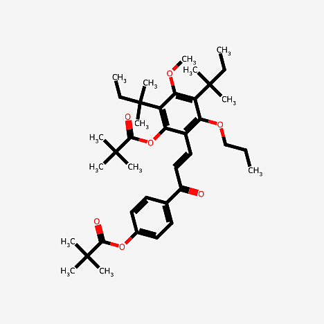 CCCOc1c(C=CC(=O)c2ccc(OC(=O)C(C)(C)C)cc2)c(OC(=O)C(C)(C)C)c(C(C)(C)CC)c(OC)c1C(C)(C)CC